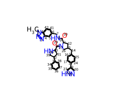 Cn1nnc2cc(CNC(=O)C3CC(Cc4ccc(-c5cn[nH]c5)cc4)CN3C(=O)C3CC(c4ccccc4)CN3)ccc21